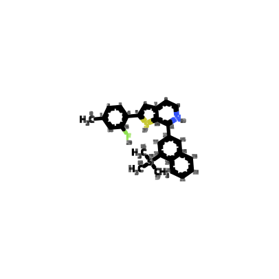 Cc1ccc(-c2cc3ccnc(-c4cc([Si](C)(C)C)c5ccccc5c4)c3s2)c(F)c1